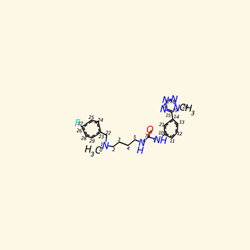 CN(CCCCNC(=O)Nc1cccc(-c2nnnn2C)c1)Cc1ccc(F)cc1